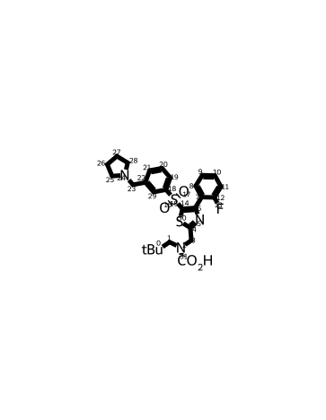 CC(C)(C)CN(Cc1nc(-c2ccccc2F)c(S(=O)(=O)c2cccc(CN3CCCC3)c2)s1)C(=O)O